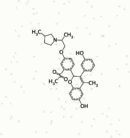 CC1=C(c2cccc(O)c2)C(c2ccc(OCC(C)N3CCC(C)C3)cc2S(C)(=O)=O)Oc2ccc(O)cc21